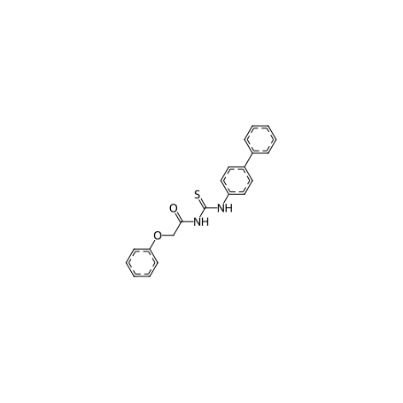 O=C(COc1ccccc1)NC(=S)Nc1ccc(-c2ccccc2)cc1